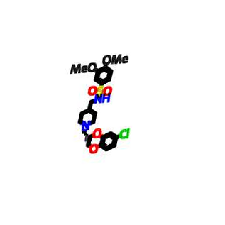 COc1ccc(S(=O)(=O)NCC2CCN(C[C@H]3COc4ccc(Cl)cc4O3)CC2)cc1OC